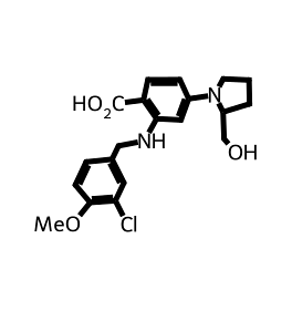 COc1ccc(CNc2cc(N3CCCC3CO)ccc2C(=O)O)cc1Cl